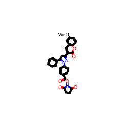 COc1ccc2oc(=O)c(C3=NN(c4ccc(C(=O)ON5C(=O)CCC5=O)cc4)C(c4ccccc4)C3)cc2c1